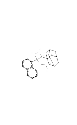 CCOC1(c2cccc3ccccc23)OOC1C12CC3CC(CC(C3)C1)C2